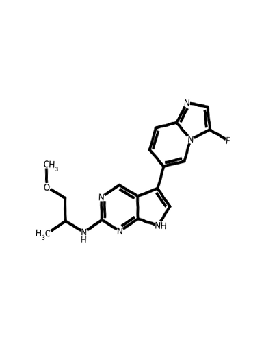 COCC(C)Nc1ncc2c(-c3ccc4ncc(F)n4c3)c[nH]c2n1